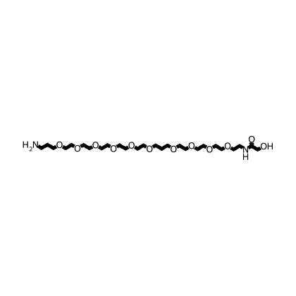 NCCCOCCOCCOCCOCCOCCOCCCOCCOCCOCCOCCNC(=O)CO